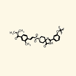 Cc1cc(C(=O)N(C)C)ccc1/C=C/S(=O)(=O)N1CCC2(CC1)N=C(c1cccc(OC(F)(F)F)c1)NC2=O